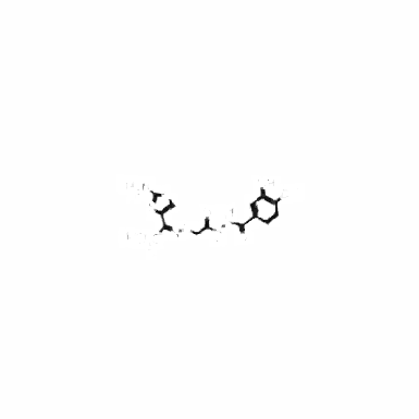 Nc1nc(C(=NOCC(=O)NNC(=O)c2ccc(O)c(O)c2)C(=O)O)cs1